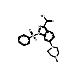 CN1CCN(c2ccc3c(C(=O)O)nn(S(=O)(=O)c4ccccc4)c3c2)CC1